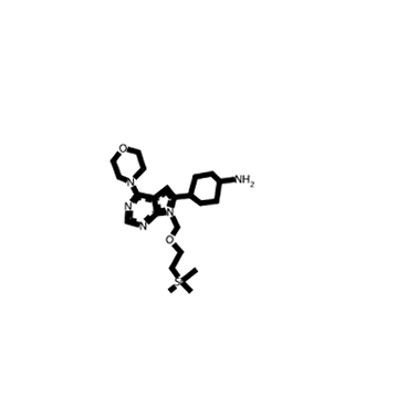 C[Si](C)(C)CCOCn1c(C2CCC(N)CC2)cc2c(N3CCOCC3)ncnc21